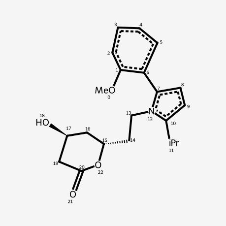 COc1ccccc1-c1ccc(C(C)C)n1CC[C@H]1C[C@H](O)CC(=O)O1